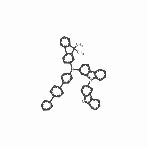 CC1(C)c2ccccc2-c2ccc(N(c3ccc(-c4ccc(-c5ccccc5)cc4)cc3)c3ccc4c5ccccc5n(-c5ccc6oc7ccccc7c6c5)c4c3)cc21